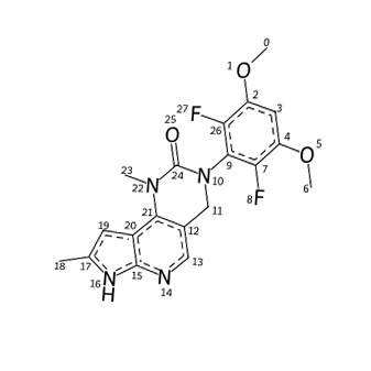 COc1cc(OC)c(F)c(N2Cc3cnc4[nH]c(C)cc4c3N(C)C2=O)c1F